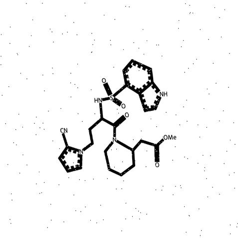 COC(=O)CC1CCCCN1C(=O)C(CCn1cccc1C#N)NS(=O)(=O)c1cccc2[nH]ccc12